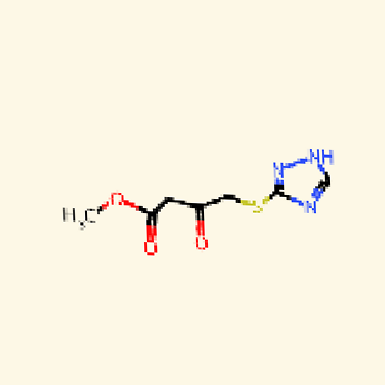 COC(=O)CC(=O)CSc1nc[nH]n1